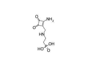 Nc1c(CNCCP(=O)(O)O)c(=O)c1=O